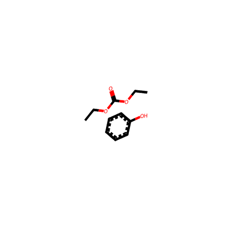 CCOC(=O)OCC.Oc1ccccc1